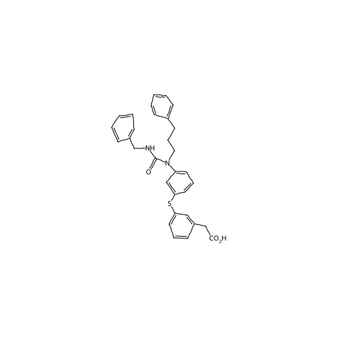 O=C(O)Cc1cccc(Sc2cccc(N(CCCc3ccccc3)C(=O)NCc3ccccc3)c2)c1